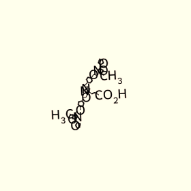 Cc1oc(-c2ccco2)nc1COc1ccc(COc2nn(Cc3ccc(OCc4nc(-c5ccco5)oc4C)cc3)cc2C=CC(=O)O)cc1